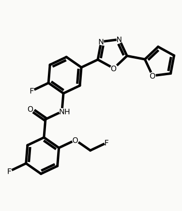 O=C(Nc1cc(-c2nnc(-c3ccco3)o2)ccc1F)c1cc(F)ccc1OCF